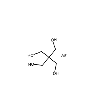 OCC(CO)(CO)CO.[Au]